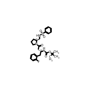 CC(C)(C)OC(=O)N[C@@H](CC(=O)N1CCC[C@H]1CNS(=O)(=O)c1ccccc1)Cc1ccccc1F